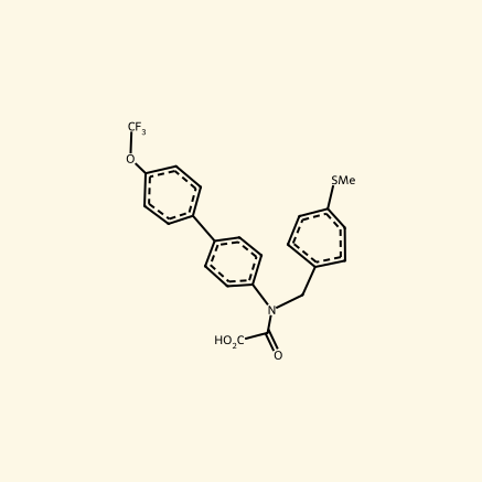 CSc1ccc(CN(C(=O)C(=O)O)c2ccc(-c3ccc(OC(F)(F)F)cc3)cc2)cc1